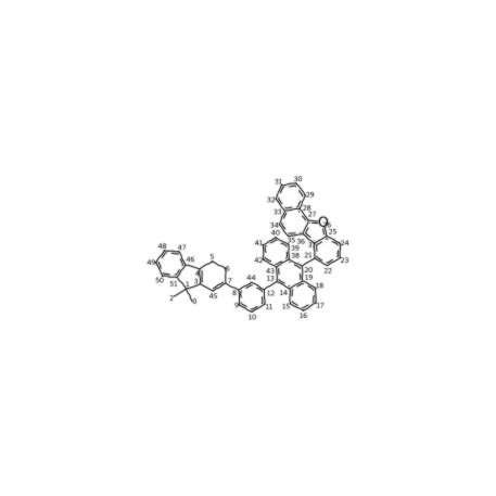 CC1(C)C2=C(CCC(c3cccc(-c4c5ccccc5c(-c5cccc6oc7c8ccccc8ccc7c56)c5ccccc45)c3)=C2)c2ccccc21